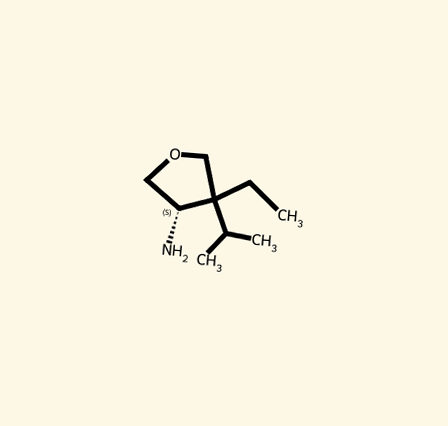 CCC1(C(C)C)COC[C@H]1N